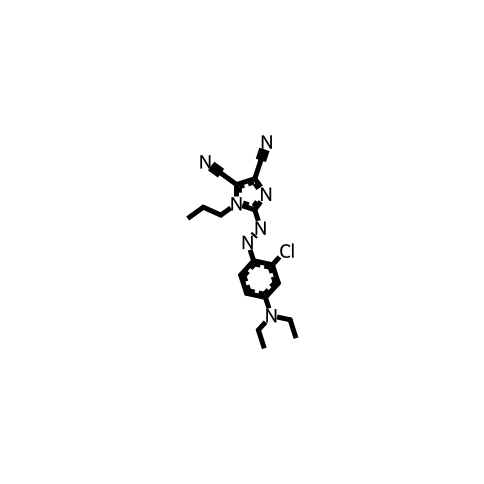 CCCn1c(N=Nc2ccc(N(CC)CC)cc2Cl)nc(C#N)c1C#N